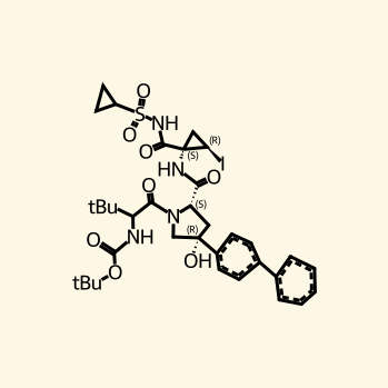 CC(C)(C)OC(=O)NC(C(=O)N1C[C@](O)(c2ccc(-c3ccccc3)cc2)C[C@H]1C(=O)N[C@]1(C(=O)NS(=O)(=O)C2CC2)C[C@H]1I)C(C)(C)C